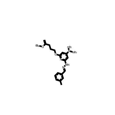 C=C(CCCOc1cc(N(CCC)CCC)cc(N/N=C/c2cccc(C)c2)n1)OC(C)CC